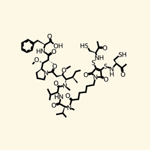 CC[C@@H](C)[C@@H]([C@@H](CC(=O)N1CCC[C@H]1[C@H](OC)[C@@H](C)C(=O)N[C@@H](Cc1ccccc1)C(=O)O)OC)N(C)C(=O)[C@@H](NC(=O)[C@H](C(C)C)N(C)C(=O)CCCCCN1C(=O)C(SN[C@@H](CS)C(C)=O)=C(SN[C@@H](CS)C(C)=O)C1=O)C(C)C